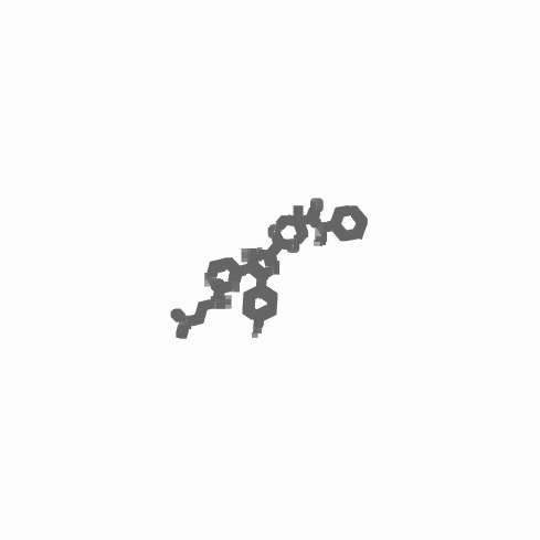 CN(C)CCNc1nccc(-c2[nH]c(C3OCC(C)(C(=O)NC4CCCCC4)CO3)nc2-c2ccc(F)cc2)n1